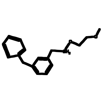 COCCO[SiH2]Cc1cccc(Cc2ccccc2)c1